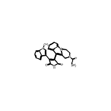 Cn1cc(C2=C(c3c4n(c5ccccc35)CCN(C(=O)CN)C4)C(=O)NC2=O)c2ccccc21